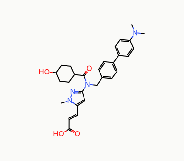 CN(C)c1ccc(-c2ccc(CN(C(=O)C3CCC(O)CC3)c3cc(C=CC(=O)O)n(C)n3)cc2)cc1